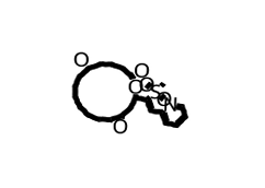 CS(=O)(=O)C(=Cc1ccccn1)C1CC2OC2CCCCCCC(=O)CCCC(=O)O1